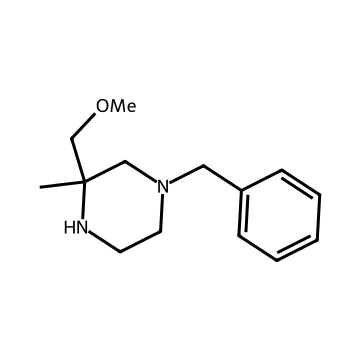 COCC1(C)CN(Cc2ccccc2)CCN1